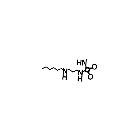 CCCCCCNCCCNc1c(NC)c(=O)c1=O